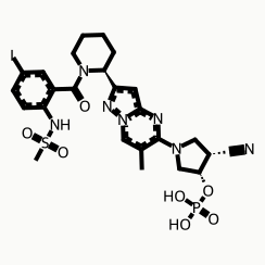 Cc1cn2nc([C@@H]3CCCCN3C(=O)c3cc(I)ccc3NS(C)(=O)=O)cc2nc1N1C[C@H](C#N)[C@H](OP(=O)(O)O)C1